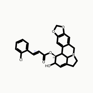 O=C(/C=C/c1ccccc1Cl)O[C@@H]1C(O)C=C2CCN3Cc4cc5c(cc4C1C23)OCO5